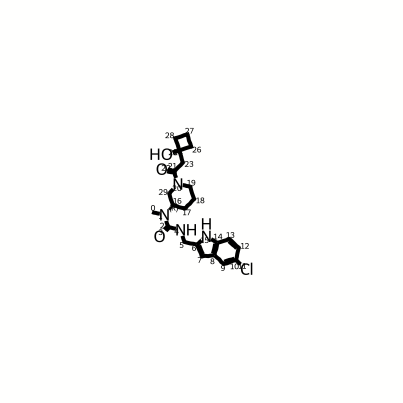 CN(C(=O)NCc1cc2cc(Cl)ccc2[nH]1)[C@@H]1CCCN(C(=O)CC2(O)CCC2)C1